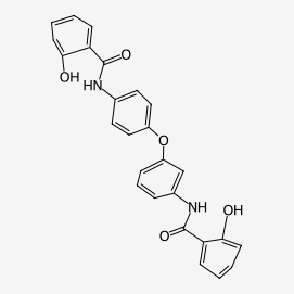 O=C(Nc1ccc(Oc2cccc(NC(=O)c3ccccc3O)c2)cc1)c1ccccc1O